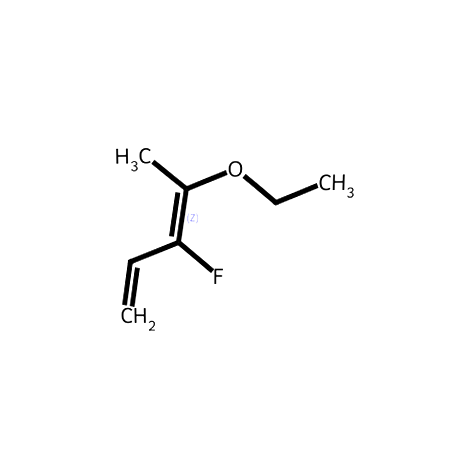 C=C/C(F)=C(\C)OCC